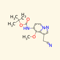 COc1c(NC(=O)OC(C)(C)C)ccn2ncc(CC#N)c12